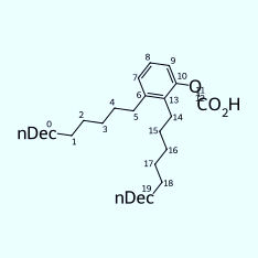 CCCCCCCCCCCCCCCc1cccc(OC(=O)O)c1CCCCCCCCCCCCCCC